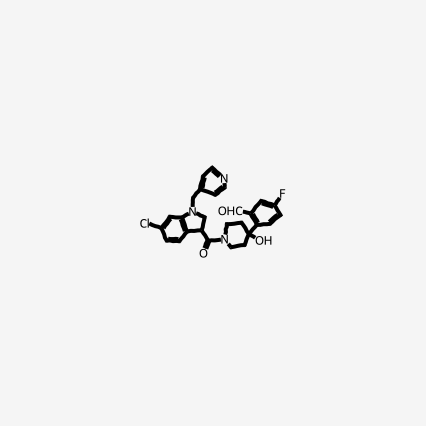 O=Cc1cc(F)ccc1C1(O)CCN(C(=O)C2CN(Cc3ccncc3)c3cc(Cl)ccc32)CC1